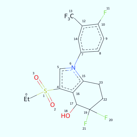 CCS(=O)(=O)c1cn(-c2ccc(F)c(C(F)(F)F)c2)c2c1C(O)C(F)(F)CC2